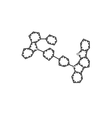 c1ccc(-c2cccc3c4ccccc4n(-c4ccc(-c5ccc(-n6c7ccccc7c7ccc8c9ccccc9oc8c76)cc5)cc4)c23)cc1